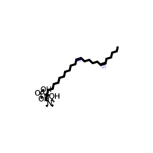 CCCCC/C=C\CCCC/C=C\CCCCCCCCCCC(O)(C[N+](C)(C)C)P(=O)(O)O